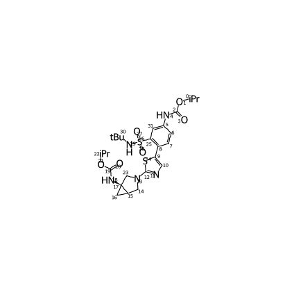 CC(C)OC(=O)Nc1ccc(-c2cnc(N3CC4C[C@]4(NC(=O)OC(C)C)C3)s2)c(S(=O)(=O)NC(C)(C)C)c1